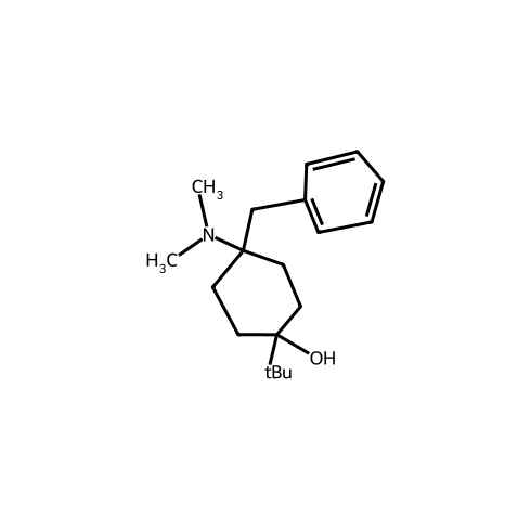 CN(C)C1(Cc2ccccc2)CCC(O)(C(C)(C)C)CC1